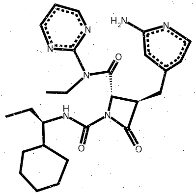 CC[C@@H](NC(=O)N1C(=O)[C@H](Cc2ccnc(N)c2)[C@H]1C(=O)N(CC)c1ncccn1)C1CCCCC1